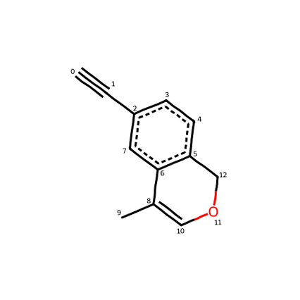 C#Cc1ccc2c(c1)C(C)=COC2